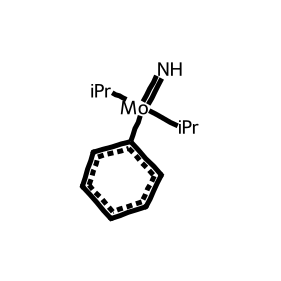 C[CH](C)[Mo](=[NH])([c]1ccccc1)[CH](C)C